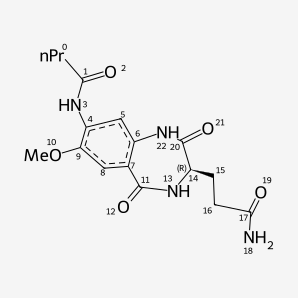 CCCC(=O)Nc1cc2c(cc1OC)C(=O)N[C@H](CCC(N)=O)C(=O)N2